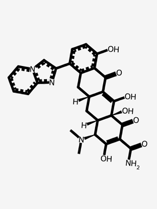 CN(C)[C@@H]1C(O)=C(C(N)=O)C(=O)[C@@]2(O)C(O)=C3C(=O)c4c(O)ccc(-c5cn6ccccc6n5)c4C[C@H]3C[C@@H]12